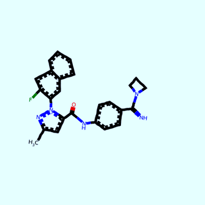 Cc1cc(C(=O)Nc2ccc(C(=N)N3CCC3)cc2)n(-c2cc3ccccc3cc2F)n1